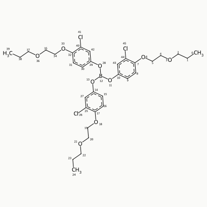 CCCOCCOc1ccc(OB(Oc2ccc(OCCOCCC)c(Cl)c2)Oc2ccc(OCCOCCC)c(Cl)c2)cc1Cl